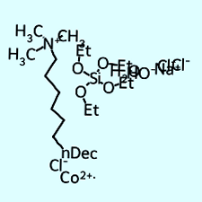 CCCCCCCCCCCCCCCC[N+](C)(C)C.CCO[Si](OCC)(OCC)OCC.O.[Cl-].[Cl-].[Cl-].[Co+2].[Na+].[OH-]